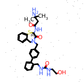 CC(C)(N)CC(=O)N[C@@H]1Sc2ccccc2CN(Cc2ccc(-c3ccccc3CNC(=O)NCCO)cc2)C1=O